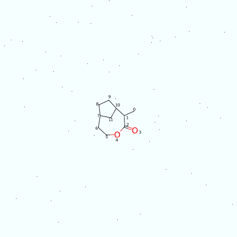 CC1C(=O)OCCC2CCC1C2